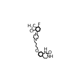 Cc1c(F)ccc(N2CCN(CCCCOc3ccc4c(c3)NC(=O)NCC4)CC2)c1Cl